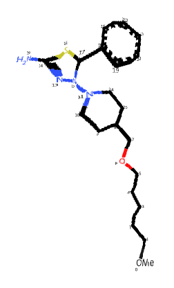 COCCCCCOCC1CCN(N2N=C(N)SC2c2ccccc2)CC1